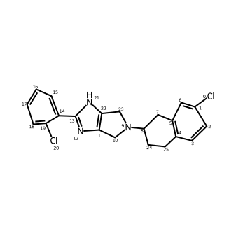 Clc1ccc2c(c1)CC(N1Cc3nc(-c4ccccc4Cl)[nH]c3C1)CC2